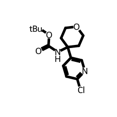 CC(C)(C)OC(=O)NC1(c2ccc(Cl)nc2)CCOCC1